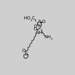 CN1C(=O)CN([C@@H](CCCCN)C(=O)NCCCCCCCCCCC(=O)N2CCCCC2)C(=O)[C@@H]1CCC(=O)O